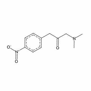 CN(C)CC(=O)Cc1ccc([N+](=O)[O-])cc1